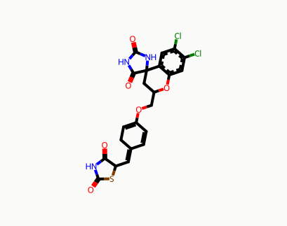 O=C1NC(=O)C2(CC(COC3=CCC(=CC4SC(=O)NC4=O)C=C3)Oc3cc(Cl)c(Cl)cc32)N1